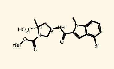 Cn1c(C(=O)N[C@H]2CN(C(=O)OC(C)(C)C)[C@](C)(C(=O)O)C2)cc2c(Br)cccc21